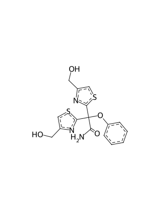 NC(=O)C(Oc1ccccc1)(c1nc(CO)cs1)c1nc(CO)cs1